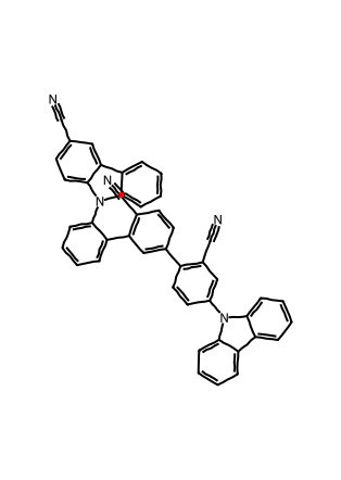 N#Cc1ccc2c(c1)c1ccccc1n2-c1ccccc1-c1cc(-c2ccc(-n3c4ccccc4c4ccccc43)cc2C#N)ccc1C#N